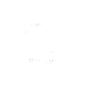 COC(=O)c1ccc(/C=C/C(=O)C(OC)OC)cc1